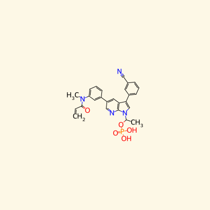 C=CC(=O)N(C)c1cccc(-c2cnc3c(c2)c(-c2cccc(C#N)c2)cn3C(C)OP(=O)(O)O)c1